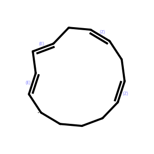 [CH]1/C=C/C=C/C/C=C\C/C=C\CCC1